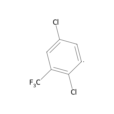 FC(F)(F)c1cc(Cl)c[c]c1Cl